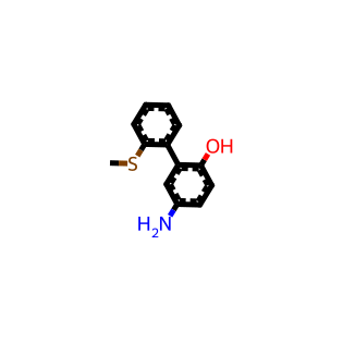 CSc1ccccc1-c1cc(N)ccc1O